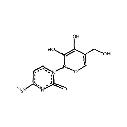 Nc1ccn(N2OC=C(CO)C(O)=C2O)c(=O)n1